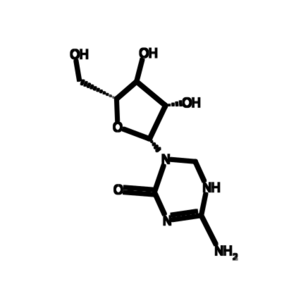 NC1=NC(=O)N([C@@H]2O[C@H](CO)C(O)[C@@H]2O)CN1